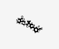 O=C1O[C@]2(CCN(C(=O)C3(c4ccc(-c5cccc(C(F)(F)F)c5)nc4)CC3)C2)c2ccncc21